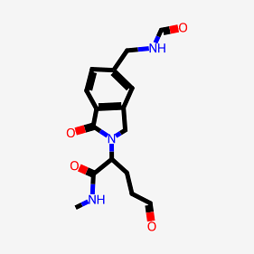 CNC(=O)C(CCC=O)N1Cc2cc(CNC=O)ccc2C1=O